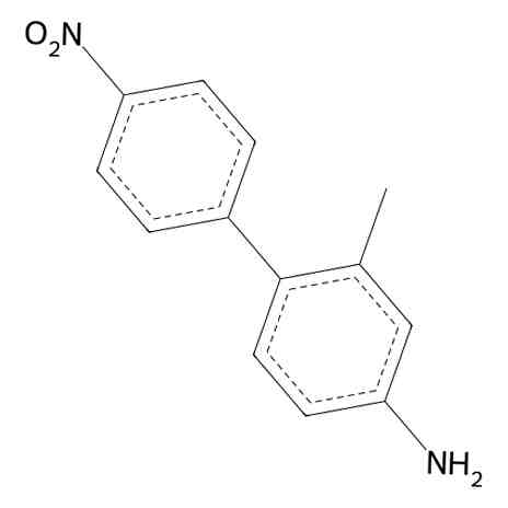 Cc1cc(N)ccc1-c1ccc([N+](=O)[O-])cc1